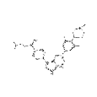 CC(=O)N(CCN(C)C)c1ccc(-c2c[nH]c3nnc(-c4cc(C)c(N5CCN(C)CC5)c(C)c4)cc23)cc1